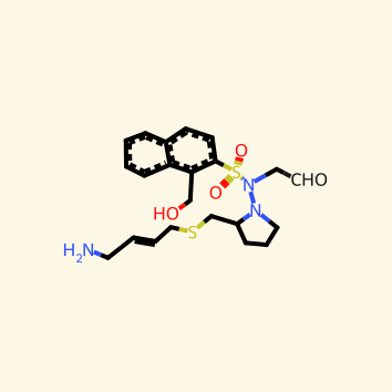 NCC=CCSCC1CCCN1N(CC=O)S(=O)(=O)c1ccc2ccccc2c1CO